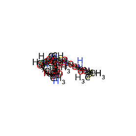 COc1cc2cc(c1Cl)N(C)C(=O)C[C@H](OC(=O)[C@H](C)N(C)C(=O)CCSCC(=O)NCCOCCOCCNC(=O)CON=C(CSC)CSC)C(C)[C@@H](O)C(C)[C@@H]1C[C@@](O)(NC(=O)O1)[C@H](OC)/C=C/C=C(\C)C2